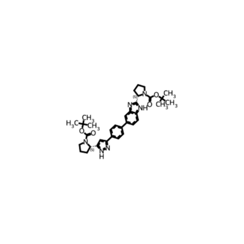 CC(C)(C)OC(=O)N1CCC[C@H]1c1cc(-c2ccc(-c3ccc4[nH]c([C@@H]5CCCN5C(=O)OC(C)(C)C)nc4c3)cc2)n[nH]1